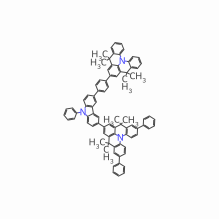 CC1(C)c2ccccc2N2c3ccccc3C(C)(C)c3cc(-c4ccc(-c5ccc6c(c5)c5cc(-c7cc8c9c(c7)C(C)(C)c7cc(-c%10ccccc%10)ccc7N9c7ccc(-c9ccccc9)cc7C8(C)C)ccc5n6-c5ccccc5)cc4)cc1c32